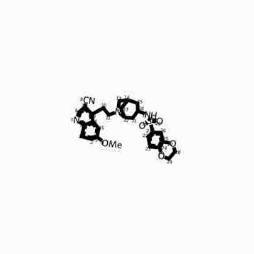 COc1ccc2ncc(C#N)c(CCN3CC4CC(NS(=O)(=O)c5ccc6c(c5)OCCO6)CC3C4)c2c1